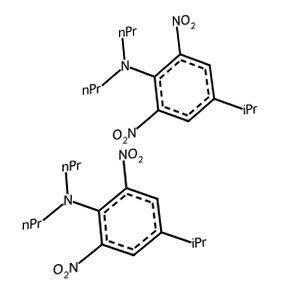 CCCN(CCC)c1c([N+](=O)[O-])cc(C(C)C)cc1[N+](=O)[O-].CCCN(CCC)c1c([N+](=O)[O-])cc(C(C)C)cc1[N+](=O)[O-]